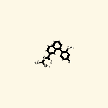 COc1cc(F)ccc1-c1cccc2ccc(C(=O)N=C(N)N)cc12